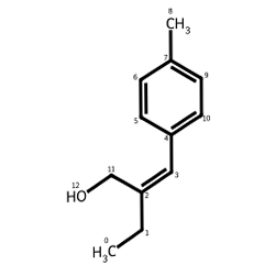 CCC(=Cc1ccc(C)cc1)CO